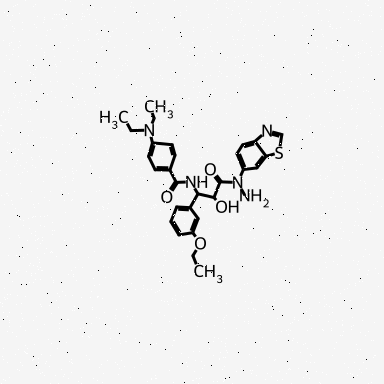 CCOc1cccc(C(NC(=O)c2ccc(N(CC)CC)cc2)C(O)C(=O)N(N)c2ccc3ncsc3c2)c1